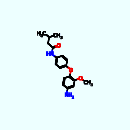 COc1cc(N)ccc1Oc1ccc(NC(=O)CC(C)C)cc1